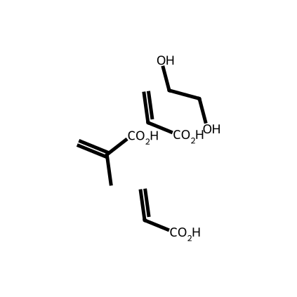 C=C(C)C(=O)O.C=CC(=O)O.C=CC(=O)O.OCCO